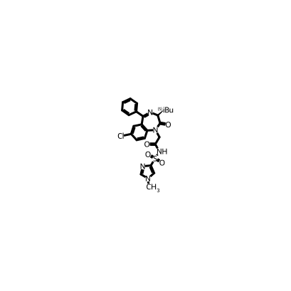 CC[C@H](C)C1N=C(c2ccccc2)c2cc(Cl)ccc2N(CC(=O)NS(=O)(=O)c2cn(C)cn2)C1=O